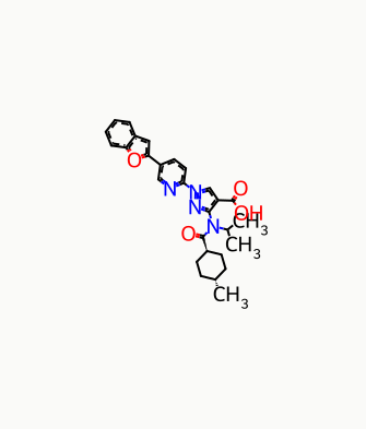 CC(C)N(c1nn(-c2ccc(-c3cc4ccccc4o3)cn2)cc1C(=O)O)C(=O)[C@H]1CC[C@H](C)CC1